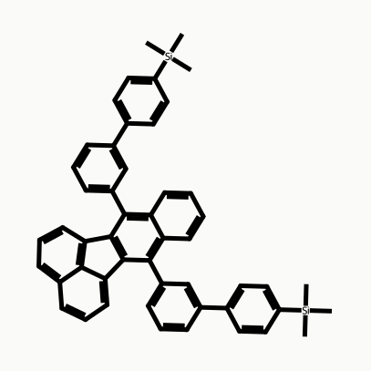 C[Si](C)(C)c1ccc(-c2cccc(-c3c4c(c(-c5cccc(-c6ccc([Si](C)(C)C)cc6)c5)c5ccccc35)-c3cccc5cccc-4c35)c2)cc1